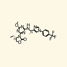 CC[C@H]1COC(=O)N1c1nc(N[C@@H](C)c2cn(-c3ccc(C(F)(F)F)cc3)cn2)nc(OC)n1